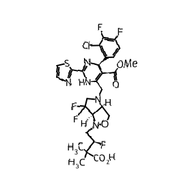 COC(=O)C1=C(CN2CC(F)(F)[C@H]3[C@@H]2CON3C[C@@H](F)C(C)(C)C(=O)O)NC(c2nccs2)=N[C@H]1c1ccc(F)c(F)c1Cl